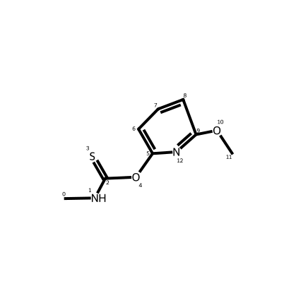 CNC(=S)Oc1cccc(OC)n1